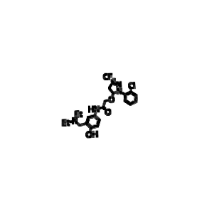 CCN(CC)Cc1cc(NC(=O)COC2CC(C(F)(F)F)=NN2c2ccccc2Cl)ccc1O